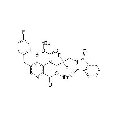 CC(C)OC(=O)c1ncc(Cc2ccc(F)cc2)c(Br)c1N(CC(F)(F)CN1C(=O)c2ccccc2C1=O)C(=O)OC(C)(C)C